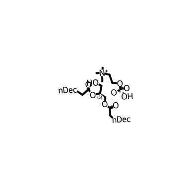 CCCCCCCCCCCC(=O)OC[C@H](CO)OC(=O)CCCCCCCCCCC.C[N+](C)(C)CCOP(=O)([O-])O